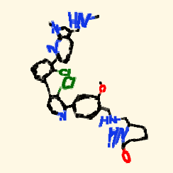 CNCc1cn(C)c2nc(-c3cccc(-c4ccnc(-c5ccc(CNCC6CCC(=O)N6)c(OC)c5)c4Cl)c3Cl)ccc12